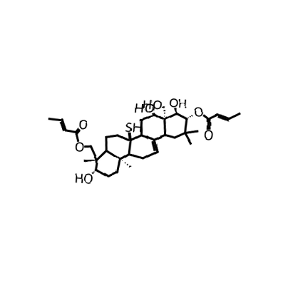 C/C=C/C(=O)OC[C@]1(C)C2CCC3(S)C4C[C@@H](O)[C@]5(CO)C(CC(C)(C)[C@@H](OC(=O)/C=C/C)[C@@H]5O)C4=CCC3[C@@]2(C)CC[C@@H]1O